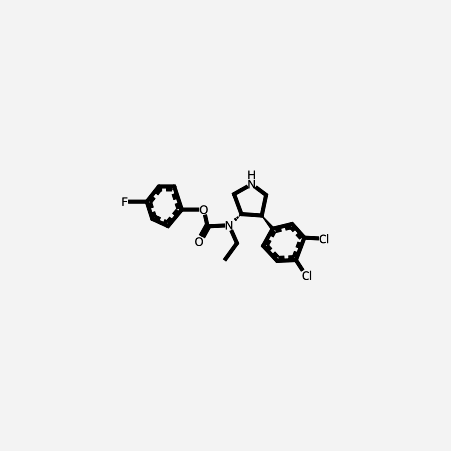 CCN(C(=O)Oc1ccc(F)cc1)[C@@H]1CNC[C@H]1c1ccc(Cl)c(Cl)c1